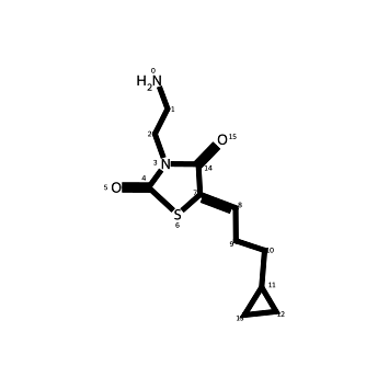 NCCN1C(=O)SC(=CCCC2CC2)C1=O